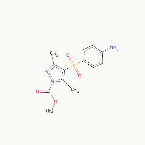 Cc1nn(C(=O)OC(C)(C)C)c(C)c1S(=O)(=O)c1ccc(N)cc1